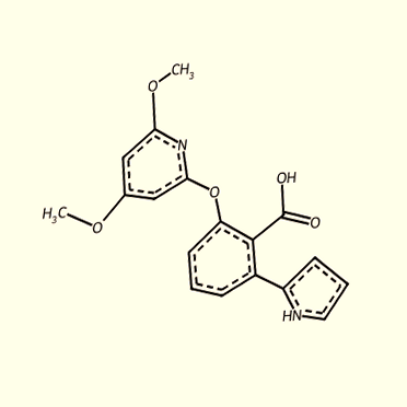 COc1cc(OC)nc(Oc2cccc(-c3ccc[nH]3)c2C(=O)O)c1